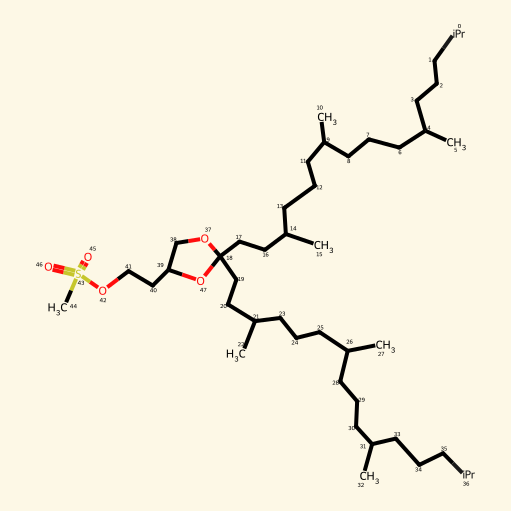 CC(C)CCCC(C)CCCC(C)CCCC(C)CCC1(CCC(C)CCCC(C)CCCC(C)CCCC(C)C)OCC(CCOS(C)(=O)=O)O1